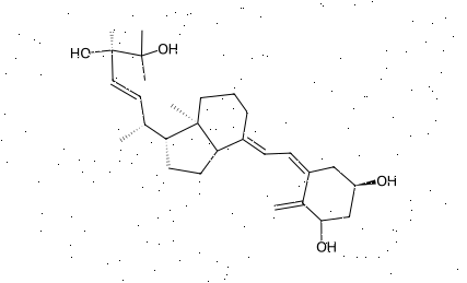 C=C1C(=CC=C2CCC[C@@]3(C)C2CC[C@@H]3[C@H](C)/C=C/[C@@](C)(O)C(C)(C)O)C[C@@H](O)CC1O